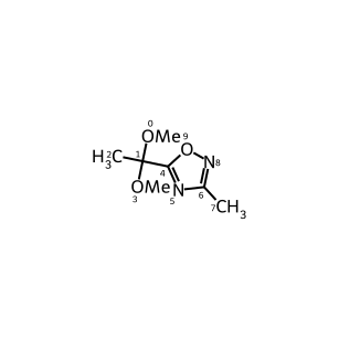 COC(C)(OC)c1nc(C)no1